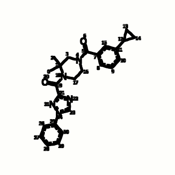 CC1(C)CN(C(=O)c2cccc(C3CC3)c2)CCN1C(=O)c1ncn(-c2ccccc2)n1